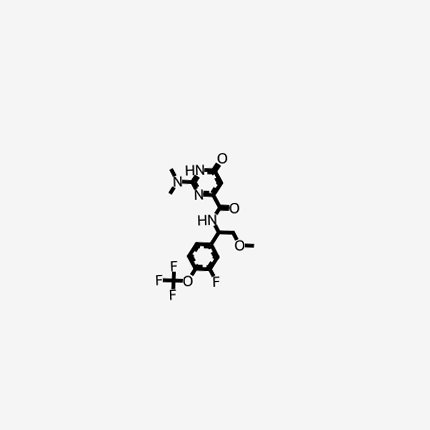 COCC(NC(=O)c1cc(=O)[nH]c(N(C)C)n1)c1ccc(OC(F)(F)F)c(F)c1